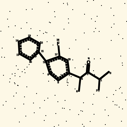 CC(C)C(=O)C(C)c1ccc(-c2ccccc2)c(F)c1